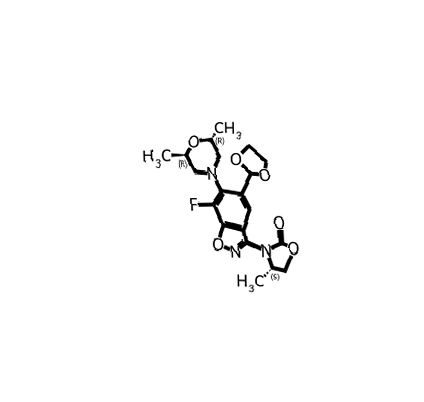 C[C@@H]1CN(c2c(C3OCCO3)cc3c(N4C(=O)OC[C@@H]4C)noc3c2F)C[C@@H](C)O1